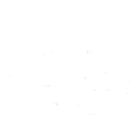 CC(C)(Oc1cc(C(=O)N[C@@H](CCC(=O)O)C(=O)N2CCN(C(=O)O)CC2)nn1-c1ccccc1)C(=O)N1CCC[C@H]1C(=O)NC1CC1